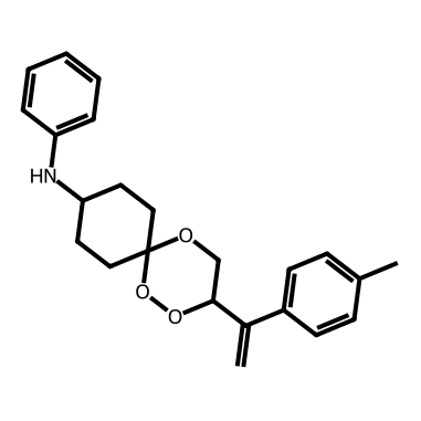 C=C(c1ccc(C)cc1)C1COC2(CCC(Nc3ccccc3)CC2)OO1